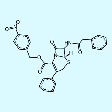 O=C(Cc1ccccc1)NC1C(=O)N2C(C(=O)OCc3ccc([N+](=O)[O-])cc3)=C(c3ccccc3)CS[C@@H]12